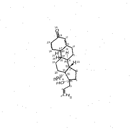 C=CC[C@]1(O)CC[C@H]2[C@@H]3CCC4=CC(=O)CC[C@@H]4[C@H]3CC[C@@]21CCC